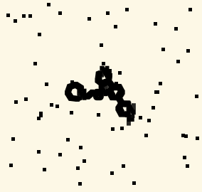 Fc1ccc(-c2ccc3c4cnccc4n(OCCN4CCCCCC4)c3c2)cn1